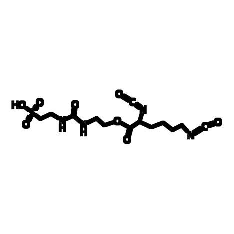 O=C=NCCCCC(N=C=O)C(=O)OCCNC(=O)NCCS(=O)(=O)O